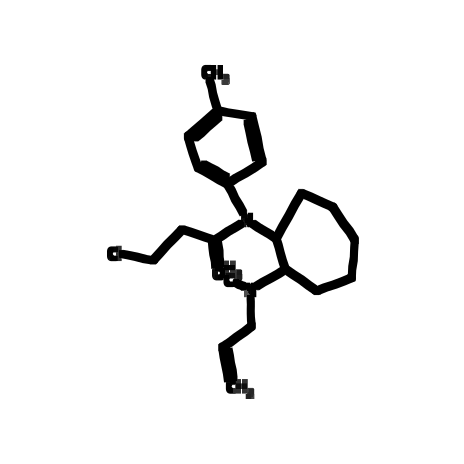 C=CCN(C)C1CCCCCC1N(C(=O)CCCl)c1ccc(C)cc1